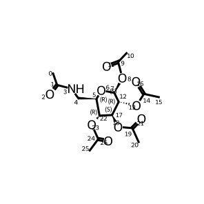 CC(=O)NC[C@H]1O[C@@H](OC(C)=O)[C@H](OC(C)=O)[C@@H](OC(C)=O)[C@@H]1OC(C)=O